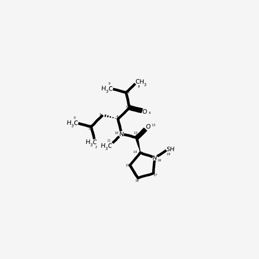 CC(C)C[C@H](C(=O)C(C)C)N(C)C(=O)[C@@H]1CCCN1S